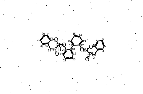 O=[PH]1Cc2ccccc2ON1Oc1ccccc1-c1ccccc1ON1Oc2ccccc2C[PH]1=O